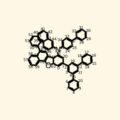 C1=C(c2cc(-c3ccccc3)cc(-c3ccccc3)c2)C=C(N(c2ccc(-c3ccccc3)cc2)c2ccc3ccccc3c2)C2c3cc(-c4ccccc4)c4ccccc4c3OC12